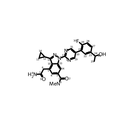 CNC(=O)c1cc(CC(N)=O)c2c(C3CC3)nn(-c3ncc(-c4cc(C(C)O)ccc4F)cn3)c2c1